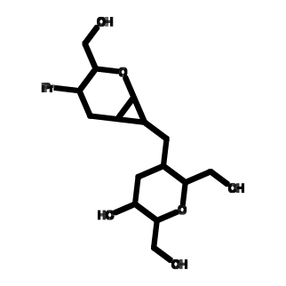 CC(C)C1CC2C(CC3CC(O)C(CO)OC3CO)C2OC1CO